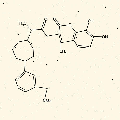 CNCc1cccc(C2CCCC(C(C)C(=O)Cc3c(C)c4ccc(O)c(O)c4oc3=O)CC2)c1